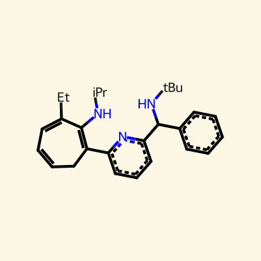 CCC1=CC=CCC(c2cccc(C(NC(C)(C)C)c3ccccc3)n2)=C1NC(C)C